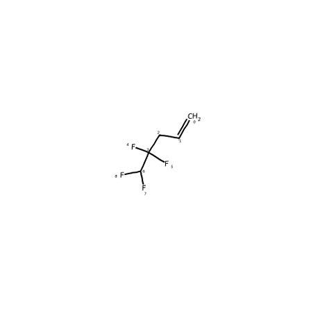 C=[C]CC(F)(F)C(F)F